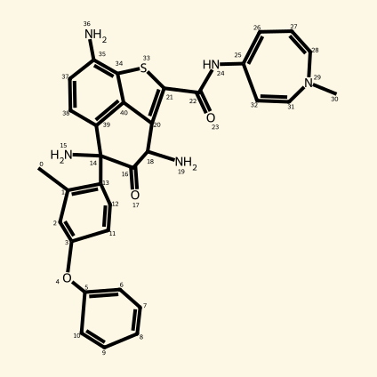 Cc1cc(Oc2ccccc2)ccc1C1(N)C(=O)C(N)c2c(C(=O)NC3=CC=CN(C)C=C3)sc3c(N)ccc1c23